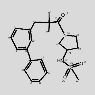 CC(C)(Cc1cccc(-c2ccccc2)c1)C(=O)N1CCC(NS(C)(=O)=O)C1